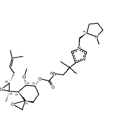 CO[C@@H]1[C@H](OC(=O)NCC(C)(C)c2cn(C[C@H]3CCCN3C)cn2)CC[C@]2(CO2)[C@H]1[C@@]1(C)O[C@@H]1CC=C(C)C